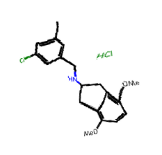 COc1ccc(OC)c2c1CC(NCc1cc(C)cc(Cl)c1)C2.Cl